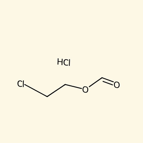 Cl.O=COCCCl